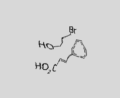 O=C(O)C=Cc1ccccc1.OCCCBr